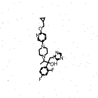 CC(N1CCN(c2ccc(OCC3CC3)nc2)CC1)C(O)(Cn1cncn1)c1ccc(F)cc1F